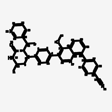 COc1c(-c2ccc(N(CC(C)NC=O)CC(C)c3cccnc3)cc2)cnc2c(-c3ccc(C#N)cc3)cccc12